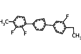 CCc1ccc(-c2ccc(-c3ccc(C)c(F)c3F)cc2)cc1F